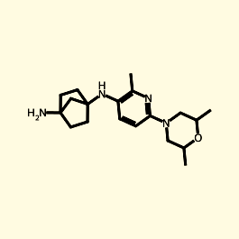 Cc1nc(N2CC(C)OC(C)C2)ccc1NC12CCC(N)(CC1)C2